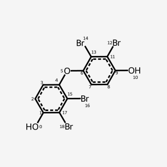 Oc1ccc(Oc2ccc(O)c(Br)c2Br)c(Br)c1Br